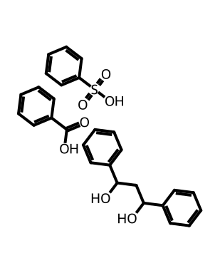 O=C(O)c1ccccc1.O=S(=O)(O)c1ccccc1.OC(CC(O)c1ccccc1)c1ccccc1